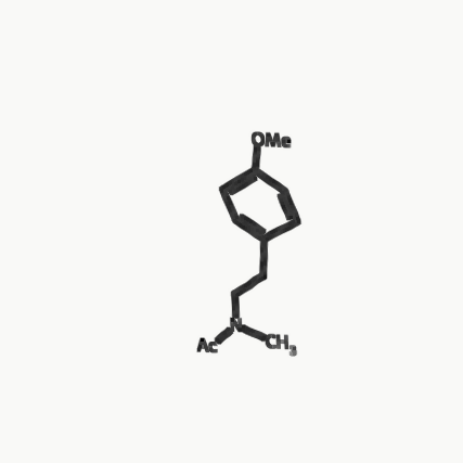 COc1ccc(CCN(C)C(C)=O)cc1